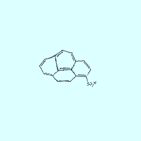 O=S(=O)(O)c1ccc2ccc3cccc4ccc1c2c34